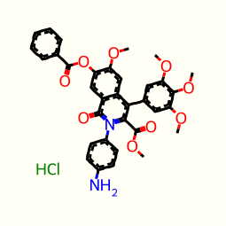 COC(=O)c1c(-c2cc(OC)c(OC)c(OC)c2)c2cc(OC)c(OC(=O)c3ccccc3)cc2c(=O)n1-c1ccc(N)cc1.Cl